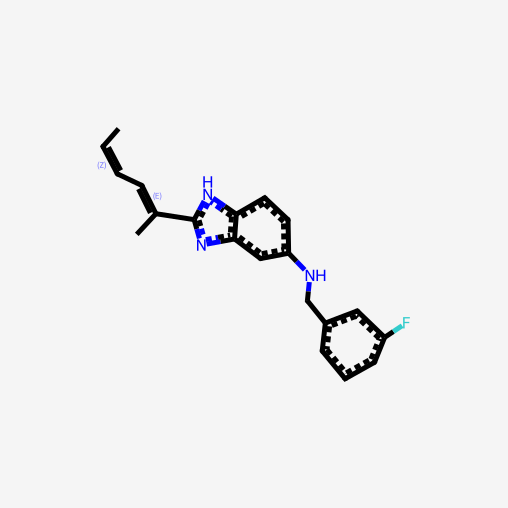 C/C=C\C=C(/C)c1nc2cc(NCc3cccc(F)c3)ccc2[nH]1